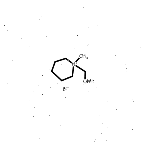 COC[N+]1(C)CCCCC1.[Br-]